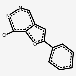 Clc1nncc2cc(-c3ccccc3)oc12